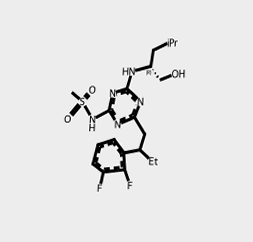 CCC(Cc1nc(N[C@@H](CO)CC(C)C)nc(NS(C)(=O)=O)n1)c1cccc(F)c1F